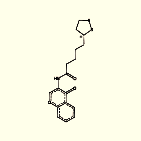 O=C(CCCC[C@@H]1CCSS1)Nc1coc2ccccc2c1=O